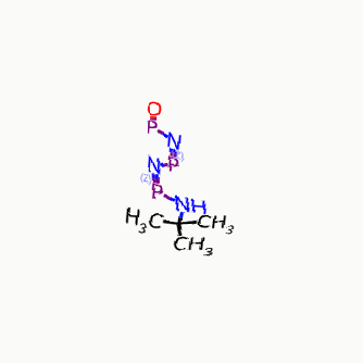 CC(C)(C)N/P=N\P=N/P=O